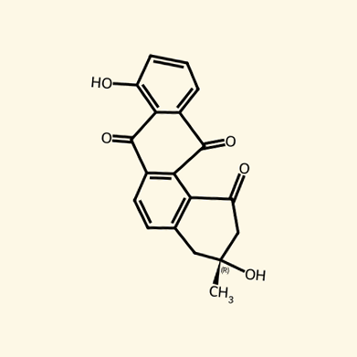 C[C@]1(O)CC(=O)c2c(ccc3c2C(=O)c2cccc(O)c2C3=O)C1